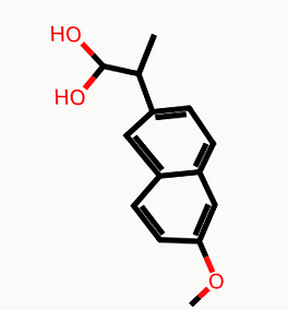 COc1ccc2cc(C(C)C(O)O)ccc2c1